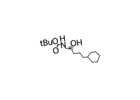 CC(C)(C)OC(=O)NC[C@H](O)CCCC1CCCCC1